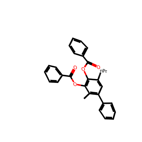 CCCc1cc(-c2ccccc2)c(C)c(OC(=O)c2ccccc2)c1OC(=O)c1ccccc1